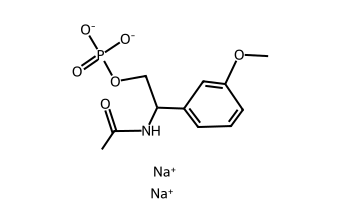 COc1cccc(C(COP(=O)([O-])[O-])NC(C)=O)c1.[Na+].[Na+]